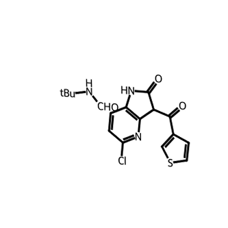 CC(C)(C)NC=O.O=C1Nc2ccc(Cl)nc2C1C(=O)c1ccsc1